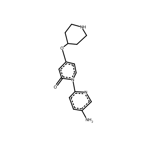 Nc1ccc(-n2ccc(OC3CCNCC3)cc2=O)nc1